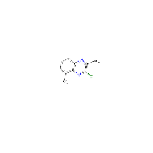 Cc1nc2cccc(C(F)(F)F)c2nc1Cl